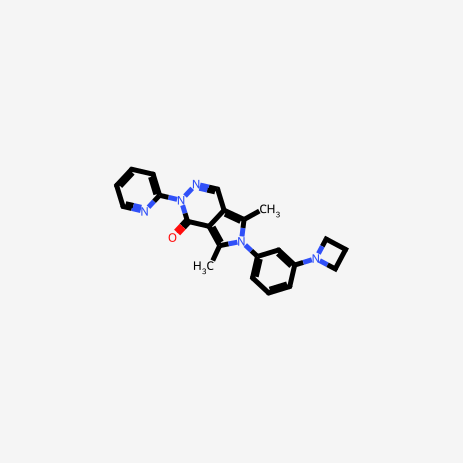 Cc1c2cnn(-c3ccccn3)c(=O)c2c(C)n1-c1cccc(N2CCC2)c1